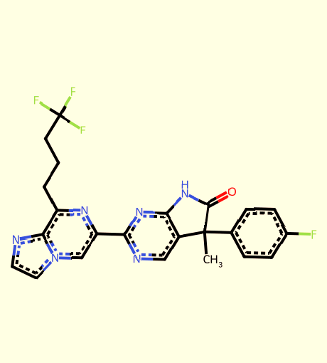 CC1(c2ccc(F)cc2)C(=O)Nc2nc(-c3cn4ccnc4c(CCCC(F)(F)F)n3)ncc21